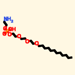 CCCCCCCCCCCCOCCOCCOCCOP(=O)(O)OCCN